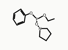 CCOP(Oc1ccccc1)ON1CCCC1